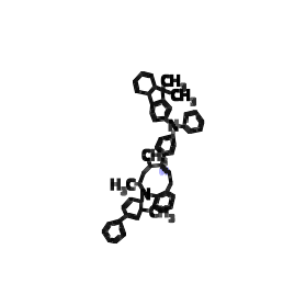 CC1CC(C)N(C2C=CC(c3ccccc3)=CC2C)c2ccccc2C/C=C\1c1ccc(N(c2ccccc2)c2ccc3c(c2)C(C)(C)C2C=CC=CC32)cc1